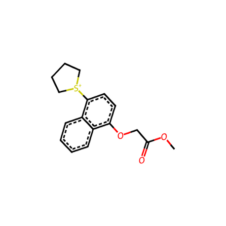 COC(=O)COc1ccc([S+]2CCCC2)c2ccccc12